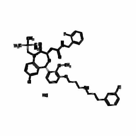 COc1c(OCCCNCCCc2cccc(Cl)c2)cccc1[C@H]1O[C@H](CC(=O)NCc2ccccc2F)C(=O)N(CC(C)(C)C)c2ccc(Cl)cc21.Cl